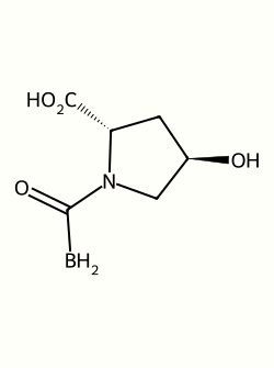 BC(=O)N1C[C@H](O)C[C@H]1C(=O)O